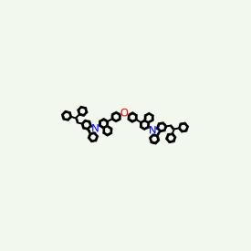 C(=C(c1ccccc1)c1ccccc1)c1ccc2c(c1)c1ccccc1n2-c1ccc(-c2ccc(Oc3ccc(-c4ccc(-n5c6ccccc6c6cc(C=C(c7ccccc7)c7ccccc7)ccc65)c5ccccc45)cc3)cc2)c2ccccc12